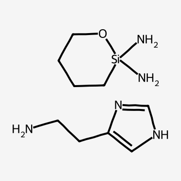 NCCc1c[nH]cn1.N[Si]1(N)CCCCO1